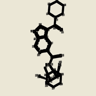 C[C@H]1[C@H](NC(=O)c2cc3c(C(=O)N4CCCCC4)coc3cn2)C2CCN1CC2